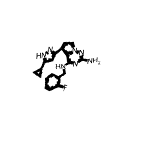 Nc1nc(NCc2ccccc2F)c2c(-c3cc(C4CC4)[nH]n3)ccn2n1